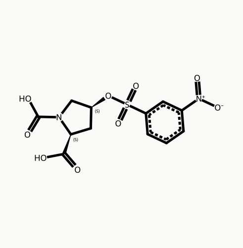 O=C(O)[C@@H]1C[C@H](OS(=O)(=O)c2cccc([N+](=O)[O-])c2)CN1C(=O)O